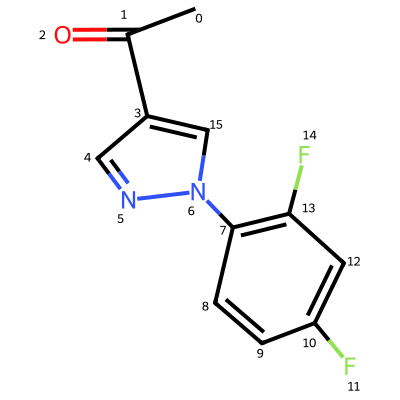 CC(=O)c1cnn(-c2ccc(F)cc2F)c1